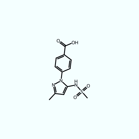 Cc1cc(NS(C)(=O)=O)n(-c2ccc(C(=O)O)cc2)n1